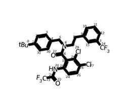 CC(C)(C)c1ccc(CN(CCc2cccc(C(F)(F)F)c2)C(=O)c2c(NC(=O)C(F)(F)F)ccc(Cl)c2Cl)cc1